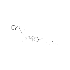 CCCC(CCCC(=O)c1nc2ccccc2s1)Cn1cc2c(C)c(C(=O)NCCOC)ccc2n1